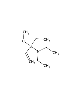 C=C[Si](CC)(OC)N(CC)CC